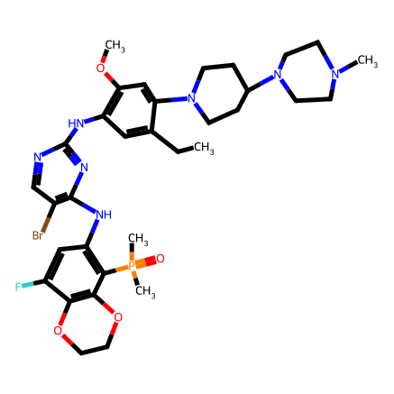 CCc1cc(Nc2ncc(Br)c(Nc3cc(F)c4c(c3P(C)(C)=O)OCCO4)n2)c(OC)cc1N1CCC(N2CCN(C)CC2)CC1